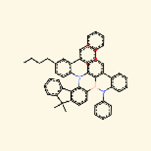 CCCCc1ccc(N2c3cc(-c4ccccc4)cc4c3B(c3ccc5c(c32)-c2ccccc2C5(C)C)N(c2ccccc2)c2ccccc2-4)c(-c2ccccc2)c1